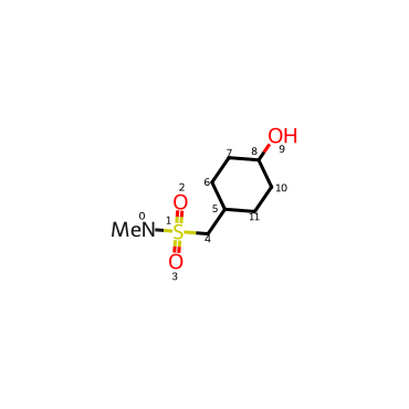 CNS(=O)(=O)CC1CCC(O)CC1